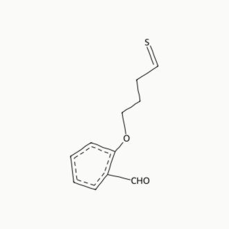 O=Cc1ccccc1OCCCC=S